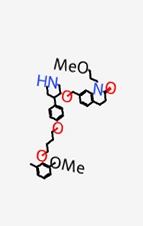 COCCCN1C(=O)CCc2ccc(COC3CNCCC3c3ccc(OCCCCOc4c(C)cccc4OC)cc3)cc21